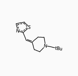 CC(C)(C)N1CCC(=Cc2nccs2)CC1